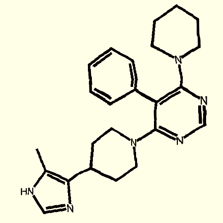 Cc1[nH]cnc1C1CCN(c2ncnc(N3CCCCC3)c2-c2ccccc2)CC1